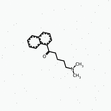 CN(C)CCCCC(=O)c1cccc2ccccc12